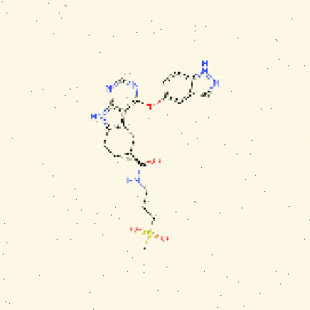 CS(=O)(=O)CCCNC(=O)[C@H]1CCc2[nH]c3ncnc(Oc4ccc5[nH]ncc5c4)c3c2C1